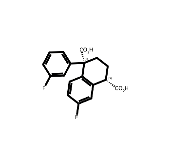 O=C(O)[C@H]1CC[C@](C(=O)O)(c2cccc(F)c2)c2ccc(F)cc21